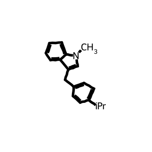 CC(C)c1ccc(Cc2cn(C)c3ccccc23)cc1